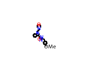 COc1ccc(Cc2noc(-c3cn(CCN4CCOCC4)c4ccccc34)n2)cc1